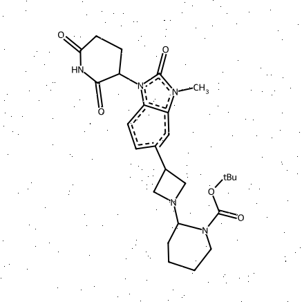 Cn1c(=O)n(C2CCC(=O)NC2=O)c2ccc(C3CN(C4CCCCN4C(=O)OC(C)(C)C)C3)cc21